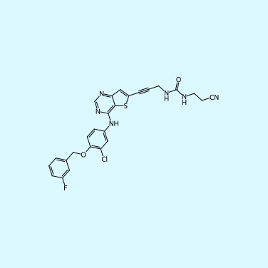 N#CCCNC(=O)NCC#Cc1cc2ncnc(Nc3ccc(OCc4cccc(F)c4)c(Cl)c3)c2s1